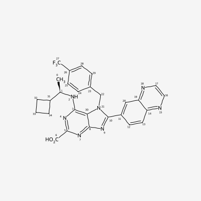 C[C@@H](Nc1nc(C(=O)O)nc2nc(-c3ccc4nccnc4c3)n(Cc3ccc(C(F)(F)F)cc3)c12)C1CCC1